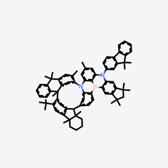 Cc1cc2c3c(c1)N1c4cc5c(cc4C)C(C)(C)c4ccccc4C5(C)c4cc5c(cc4C(C)(C)C)C4(C)CCCCC4(C)C5c4ccc(c1c4)B3c1cc3c(cc1N2c1ccc2c(c1)C(C)(C)c1ccccc1-2)C(C)(C)CC3(C)C